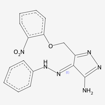 NC1=NN=C(COc2ccccc2[N+](=O)[O-])/C1=N\Nc1ccccc1